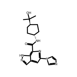 CC(C)(O)[C@H]1CC[C@H](NC(=O)c2nc(-n3ccnc3)cc3cn[nH]c23)CC1